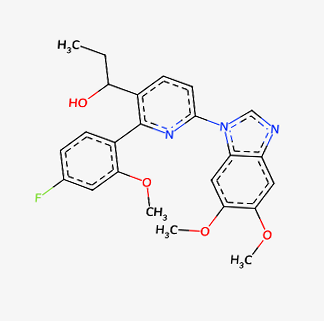 CCC(O)c1ccc(-n2cnc3cc(OC)c(OC)cc32)nc1-c1ccc(F)cc1OC